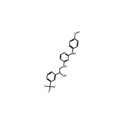 COc1ccc(Nc2nccc(NCC(O)c3cccc(C(F)(F)F)c3)n2)cc1